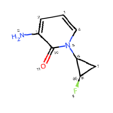 Nc1cccn(C2C[C@H]2F)c1=O